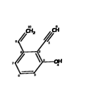 C#Cc1c(O)cccc1[C]=C